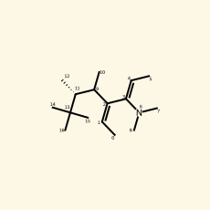 C/C=C(\C(=C\C)N(C)C)C(C)[C@@H](C)C(C)(C)C